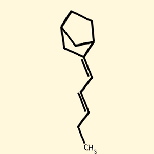 CCC=CC=C1CC2CCC1C2